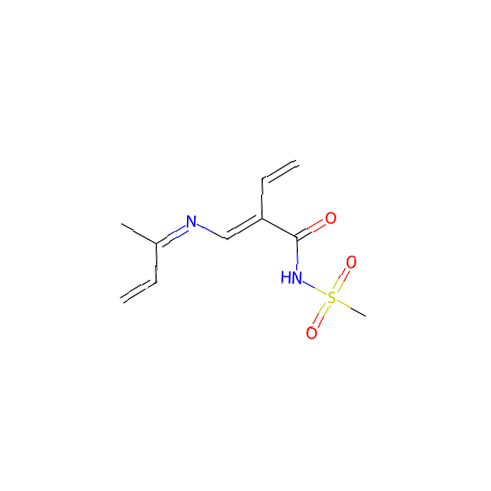 C=C/C(C)=N\C=C(/C=C)C(=O)NS(C)(=O)=O